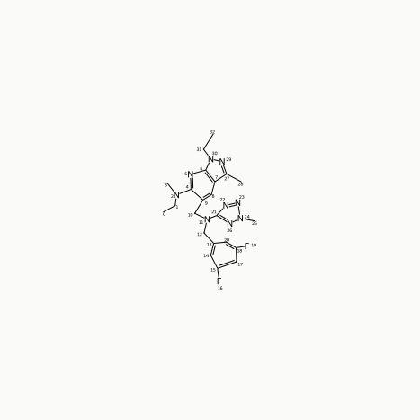 CCN(C)c1nc2c(cc1CN(Cc1cc(F)cc(F)c1)c1nnn(C)n1)c(C)nn2CC